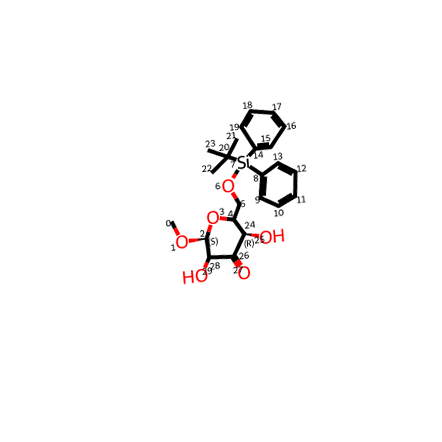 CO[C@H]1OC(CO[Si](c2ccccc2)(c2ccccc2)C(C)(C)C)[C@@H](O)C(=O)C1O